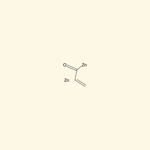 C=C[C](=O)[Zn].[Zn]